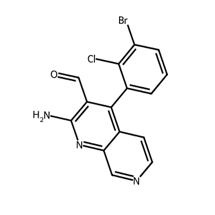 Nc1nc2cnccc2c(-c2cccc(Br)c2Cl)c1C=O